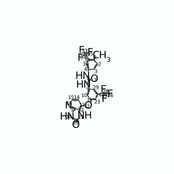 Cc1ccc(NC(=O)Nc2cc(Oc3ccnc4[nH]c(=O)[nH]c34)cc(C(F)(F)F)c2)cc1C(F)(F)F